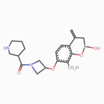 C=C1CB(O)Oc2c1ccc(OC1CN(C(=O)C3CCCNC3)C1)c2C(=O)O